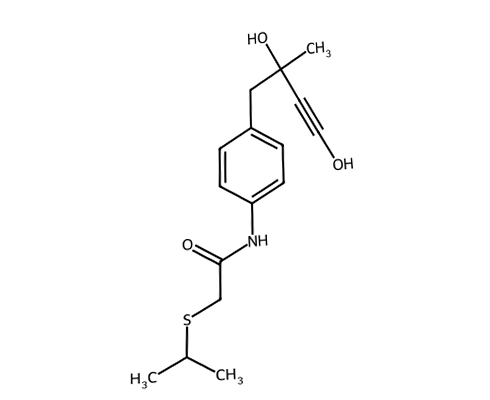 CC(C)SCC(=O)Nc1ccc(CC(C)(O)C#CO)cc1